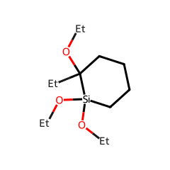 CCOC1(CC)CCCC[Si]1(OCC)OCC